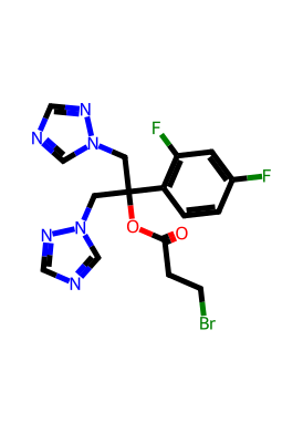 O=C(CCBr)OC(Cn1cncn1)(Cn1cncn1)c1ccc(F)cc1F